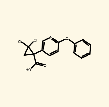 O=C(O)C1(c2ccc(Oc3ccccc3)nc2)CC1(Cl)Cl